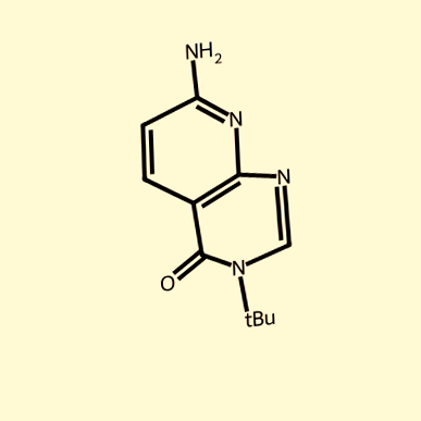 CC(C)(C)n1cnc2nc(N)ccc2c1=O